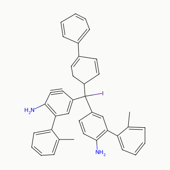 Cc1ccccc1-c1cc(C(I)(c2ccc(N)c(-c3ccccc3C)c2)C2C=CC(c3ccccc3)=CC2)c#cc1N